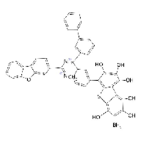 Bc1c(O)c(O)c2c(sc3c(C4=CC(/C(=N\C(=N/C)c5ccc6c(c5)oc5ccccc56)c5cccc(-c6ccccc6)c5)CC=C4)c(O)c(O)c(O)c32)c1O